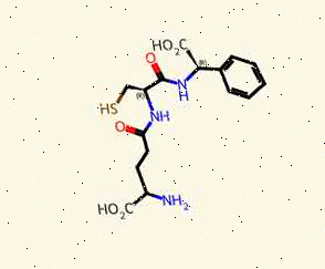 NC(CCC(=O)N[C@@H](CS)C(=O)N[C@@H](C(=O)O)c1ccccc1)C(=O)O